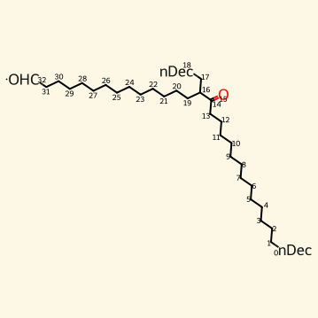 CCCCCCCCCCCCCCCCCCCCCCCC(=O)C(CCCCCCCCCCC)CCCCCCCCCCCCC[C]=O